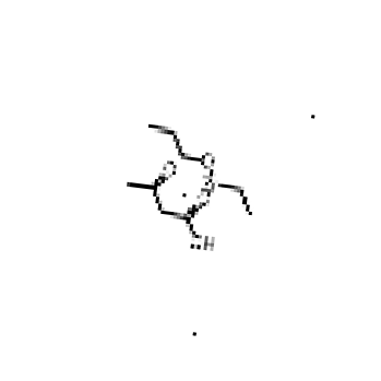 CC(=O)CC(=O)O.CCC[O][Zr][CH2]C